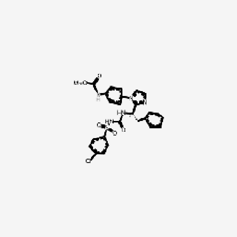 COC(=O)Nc1ccc(-n2ccnc2[C@H](Cc2ccccc2)NC(=O)NS(=O)(=O)c2ccc(Cl)cc2)cc1